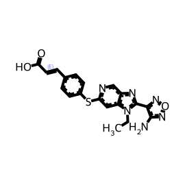 CCn1c(-c2nonc2N)nc2cnc(Sc3ccc(/C=C/C(=O)O)cc3)cc21